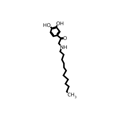 CCCCCCCCCCCCNCC(=O)c1ccc(O)c(O)c1